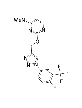 CNc1ccnc(OCc2cn(-c3ccc(F)c(C(C)(F)F)c3)nn2)n1